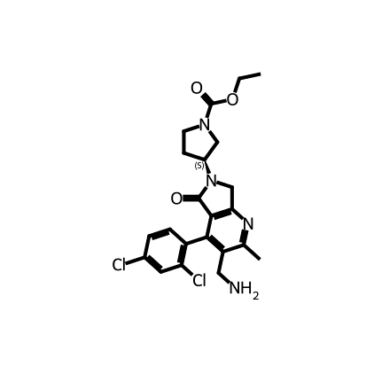 CCOC(=O)N1CC[C@H](N2Cc3nc(C)c(CN)c(-c4ccc(Cl)cc4Cl)c3C2=O)C1